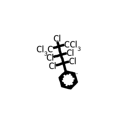 ClC(Cl)(Cl)C(Cl)(C(Cl)(Cl)Cl)C(Cl)(Cl)C(Cl)(Cl)c1[c]cccc1